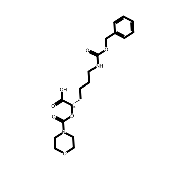 O=C(NCCCC[C@H](OC(=O)N1CCOCC1)C(=O)O)OCc1ccccc1